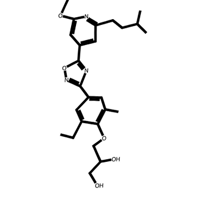 CCc1cc(-c2noc(-c3cc(CCC(C)C)nc(OC)c3)n2)cc(C)c1OCC(O)CO